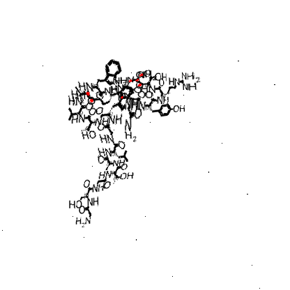 CC(C)C[C@H](NC(=O)[C@H](C)NC(=O)[C@@H](NC(=O)CNC(=O)[C@H](CO)NC(=O)CN)[C@@H](C)O)C(=O)NCC(=O)N[C@@H](Cc1c[nH]c2ccccc12)C(=O)N[C@H](C(=O)N[C@H](C(=O)N[C@@H](C)C(=O)N[C@@H](Cc1c[nH]c2ccccc12)C(=O)N[C@@H](CCCCN)C(=O)N[C@@H](CC(N)=O)C(=O)N[C@@H](CC(N)=O)C(=O)N[C@@H](Cc1ccc(O)cc1)C(=O)N[C@@H](CCCNC(=N)N)C(=O)N[C@@H](CC(N)=O)C(=O)O)C(C)C)[C@@H](C)O